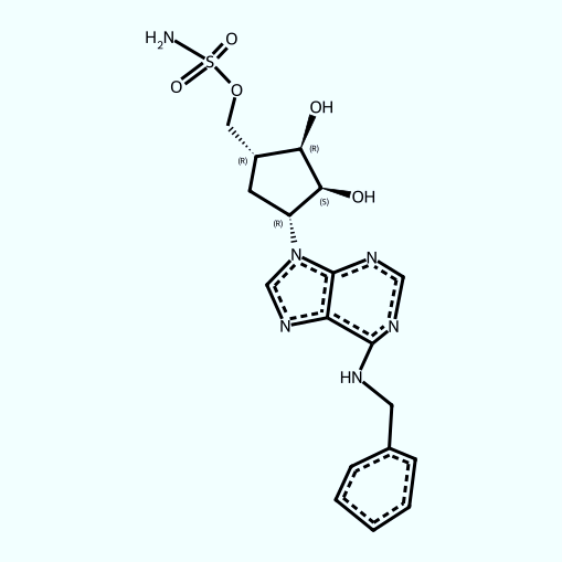 NS(=O)(=O)OC[C@H]1C[C@@H](n2cnc3c(NCc4ccccc4)ncnc32)[C@H](O)[C@@H]1O